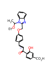 CCOC(C)n1c(COc2ccc(/C=C/C(=O)c3ccc(C(=O)O)cc3O)cc2)nc2ccccc21